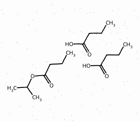 CCCC(=O)O.CCCC(=O)O.CCCC(=O)OC(C)C